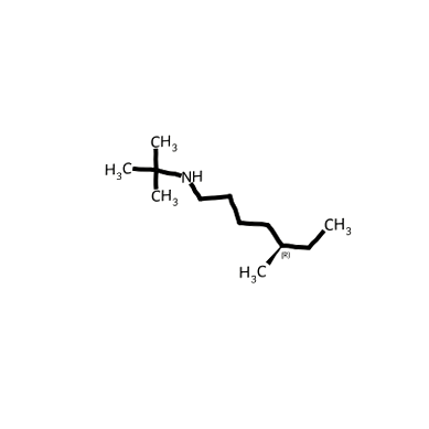 CC[C@@H](C)CCCCNC(C)(C)C